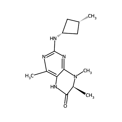 Cc1nc(N[C@H]2C[C@@H](C)C2)nc2c1NC(=O)[C@H](C)N2C